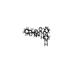 O=C(Nc1cnccc1N1CCNCC1)c1nnc(-c2cc3ccccc3o2)o1